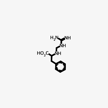 N=C(N)NCNC(Cc1ccccc1)C(=O)O